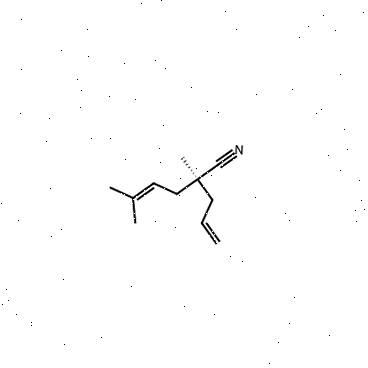 C=CC[C@](C)(C#N)CC=C(C)C